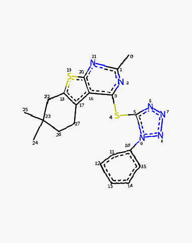 Cc1nc(Sc2nnnn2-c2ccccc2)c2c3c(sc2n1)CC(C)(C)CC3